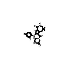 CC1(C)CNC(=O)c2sc(Nc3ccc(I)cc3F)c(C(=O)N3CCNC(=O)C3)c2C1